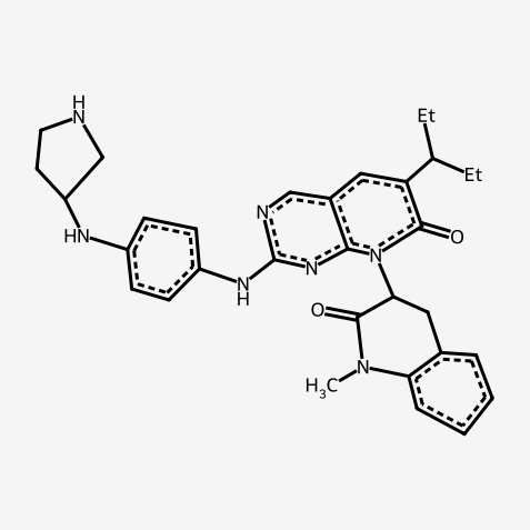 CCC(CC)c1cc2cnc(Nc3ccc(NC4CCNC4)cc3)nc2n(C2Cc3ccccc3N(C)C2=O)c1=O